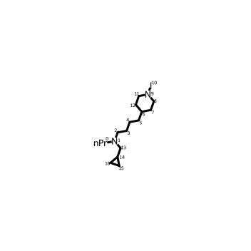 CCCN(CCCCC1CCN(I)CC1)CC1CC1